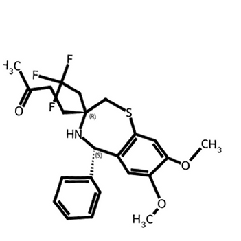 COc1cc2c(cc1OC)[C@H](c1ccccc1)N[C@](CCC(C)=O)(CC(F)(F)F)CS2